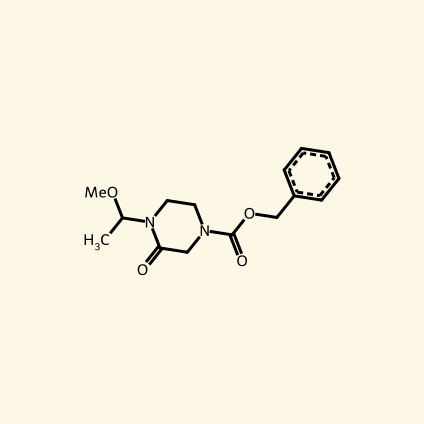 COC(C)N1CCN(C(=O)OCc2ccccc2)CC1=O